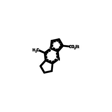 CCOC(=O)c1ccn2c(C)c3c(nc12)CCC3